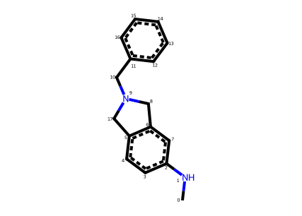 CNc1ccc2c(c1)CN(Cc1ccccc1)C2